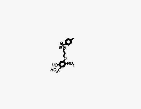 Cc1ccc(S(=O)(=O)OCCCOc2cc(O)c(C(=O)O)cc2[N+](=O)[O-])cc1